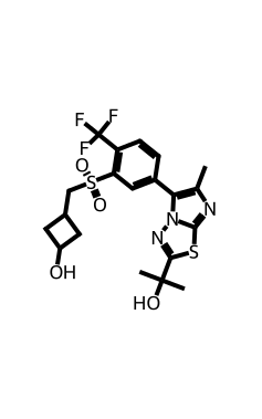 Cc1nc2sc(C(C)(C)O)nn2c1-c1ccc(C(F)(F)F)c(S(=O)(=O)CC2CC(O)C2)c1